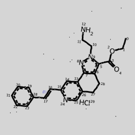 CCOC(=O)c1c2c(nn1CCN)-c1cc(/C=C/c3ccccc3)ncc1CC2.Cl